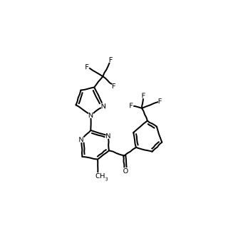 Cc1cnc(-n2ccc(C(F)(F)F)n2)nc1C(=O)c1cccc(C(F)(F)F)c1